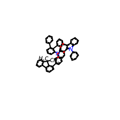 CC1(C)c2ccccc2-c2cccc(-c3cccc(N(c4ccc5c6ccccc6n(-c6ccccc6)c5c4)c4cccc(-c5ccccc5)c4-c4ccccc4-c4ccccc4)c3)c21